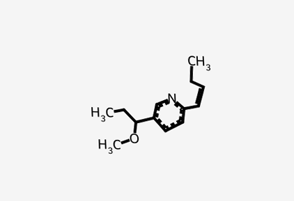 CC/C=C\c1ccc(C(CC)OC)cn1